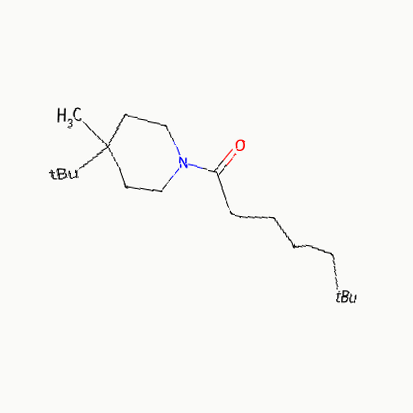 CC(C)(C)CCCCC(=O)N1CCC(C)(C(C)(C)C)CC1